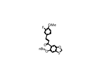 CCCCOc1cc2c(cc1C(=O)C=Cc1ccc(OC)c(F)c1)OCS2